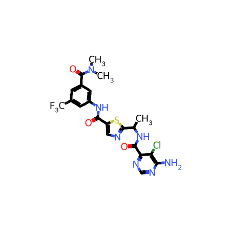 CC(NC(=O)c1ncnc(N)c1Cl)c1ncc(C(=O)Nc2cc(C(=O)N(C)C)cc(C(F)(F)F)c2)s1